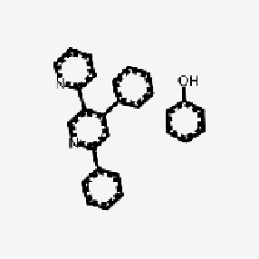 Oc1ccccc1.c1ccc(-c2cc(-c3ccccc3)c(-c3ccccn3)cn2)cc1